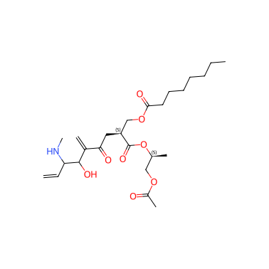 C=CC(NC)C(O)C(=C)C(=O)C[C@@H](COC(=O)CCCCCCC)C(=O)O[C@@H](C)COC(C)=O